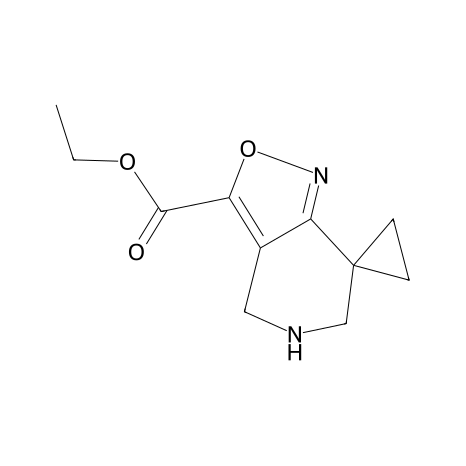 CCOC(=O)c1onc2c1CNCC21CC1